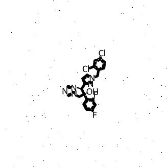 C[C@@H](c1ccn(Cc2ccc(Cl)cc2Cl)n1)[C@](O)(Cn1cncn1)c1ccc(F)cc1F